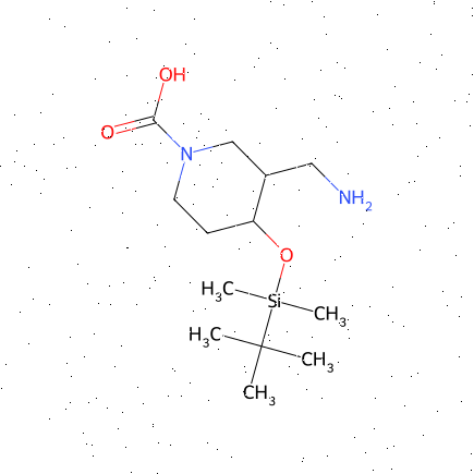 CC(C)(C)[Si](C)(C)OC1CCN(C(=O)O)CC1CN